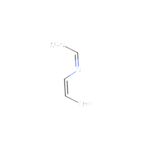 CN/C=N\C=C/C=O